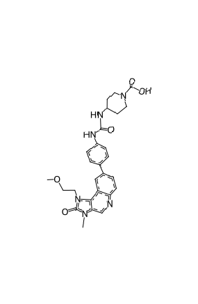 COCCn1c(=O)n(C)c2cnc3ccc(-c4ccc(NC(=O)NC5CCN(C(=O)O)CC5)cc4)cc3c21